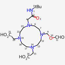 CC(C)(C)NC(=O)CN1CCN(COC=O)CCN(CC(=O)O)CCN(CC(=O)O)CC1